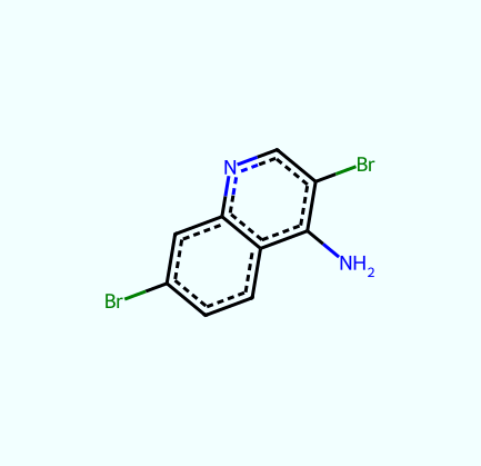 Nc1c(Br)cnc2cc(Br)ccc12